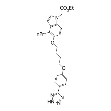 CCCc1c(OCCCCOc2ccc(-c3nn[nH]n3)cc2)ccc2c1ccn2CC(=O)OCC